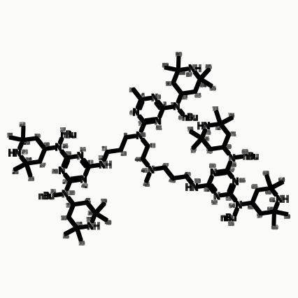 CCCCN(c1nc(C)nc(N(CCCNc2nc(N(CCCC)C3CC(C)(C)NC(C)(C)C3)nc(N(CCCC)C3CC(C)(C)NC(C)(C)C3)n2)CCN(C)CCCNc2nc(N(CCCC)C3CC(C)(C)NC(C)(C)C3)nc(N(CCCC)C3CC(C)(C)NC(C)(C)C3)n2)n1)C1CC(C)(C)NC(C)(C)C1